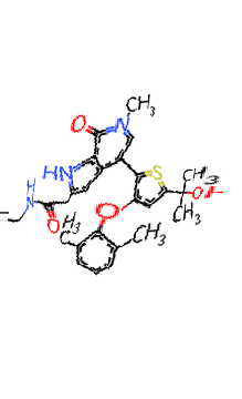 CCNC(=O)c1cc2c(-c3sc(C(C)(C)O)cc3Oc3c(C)cccc3C)cn(C)c(=O)c2[nH]1